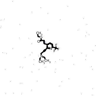 CCOC(=O)/C=C/c1ccc(C(F)(F)F)nc1C#CCN(CC)CC